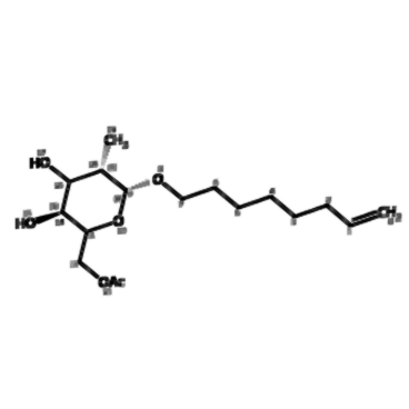 C=CCCCCCCO[C@@H]1OC(COC(C)=O)[C@@H](O)C(O)[C@@H]1C